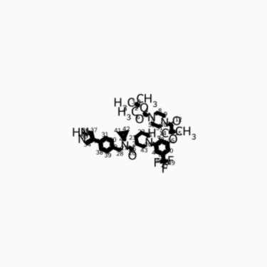 CC(C)(C)OC(=O)N1CCN(C(=O)C(C)(C)Oc2cc(N3CCC[C@@H](C(=O)N(Cc4ccc(-c5cn[nH]c5)cc4)C4CC4)C3)cc(C(F)(F)F)c2)CC1